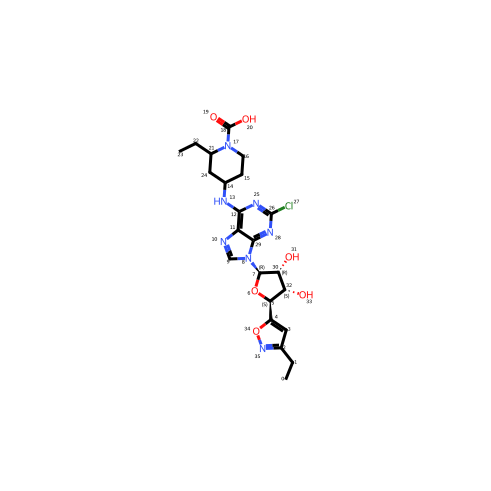 CCc1cc([C@H]2O[C@@H](n3cnc4c(NC5CCN(C(=O)O)C(CC)C5)nc(Cl)nc43)[C@H](O)[C@@H]2O)on1